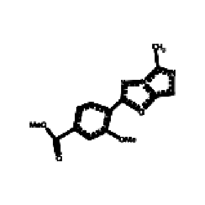 COC(=O)c1ccc(-c2nn3c(C)ncc3o2)c(OC)c1